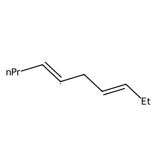 CCC=CC/[C]=C/CCC